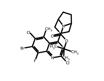 Cc1c(Cl)c(Br)c(F)c2nc(Cl)nc(N3CC4CCC(C3)N4C(=O)OC(C)(C)C)c12